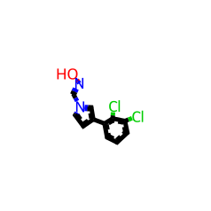 ON=Cn1ccc(-c2cccc(Cl)c2Cl)c1